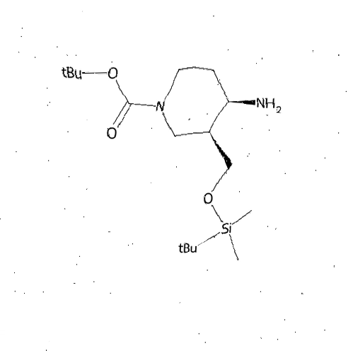 CC(C)(C)OC(=O)N1CC[C@@H](N)[C@@H](CO[Si](C)(C)C(C)(C)C)C1